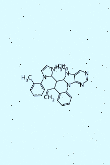 C=CC1c2ccccc2N2c3ncncc3N(C)C2C1C1N(C)C=CN1c1ccccc1C